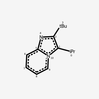 CC(C)c1c(C(C)(C)C)nc2ccccn12